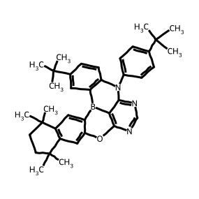 CC(C)(C)c1ccc(N2c3ccc(C(C)(C)C)cc3B3c4cc5c(cc4Oc4ncnc2c43)C(C)(C)CCC5(C)C)cc1